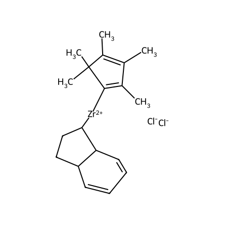 CC1=C(C)C(C)(C)[C]([Zr+2][CH]2CCC3C=CC=CC32)=C1C.[Cl-].[Cl-]